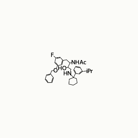 CC(=O)NC(Cc1cc(F)cc(OCc2ccccc2)c1)C(O)CNC1(c2cccc(C(C)C)c2)CCCCC1